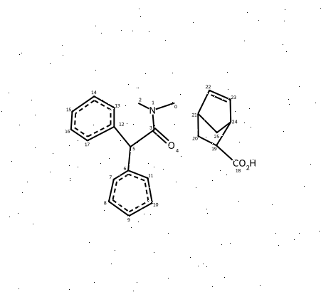 CN(C)C(=O)C(c1ccccc1)c1ccccc1.O=C(O)C1CC2C=CC1C2